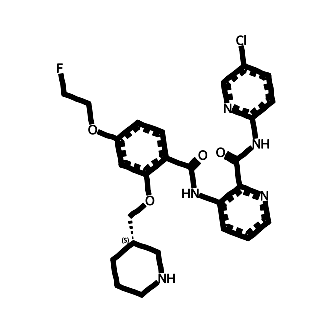 O=C(Nc1cccnc1C(=O)Nc1ccc(Cl)cn1)c1ccc(OCCF)cc1OC[C@H]1CCCNC1